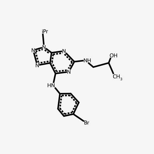 CC(O)CNc1nc(Nc2ccc(Br)cc2)c2nnn(C(C)C)c2n1